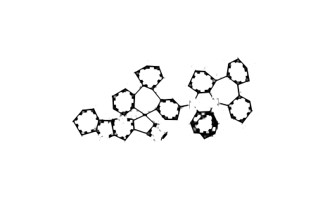 c1ccc(N(c2ccc3c(c2)-c2ccccc2-c2ccccc2C32c3ccccc3-c3cc4oc5ccccc5c4cc32)c2cccc3c2N(c2ccccc2)c2ccccc2-c2ccccc2-3)cc1